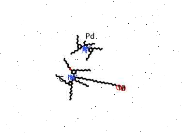 CCCCCCCCCCCCCCCCCCCCC=CC1=C(c2cc(CCCCCCCC)cc(CCCCCCCC)c2)[N+](=[N-])C(c2cc(CCCCCCCC)cc(CCCCCCCC)c2)=C1CCCCCCCC.CCCCCc1cc(CCCCC)cc(C2=C(CC)C(CCCC)=C(c3cc(CCCCC)cc(CCCCC)c3)[N+]2=[N-])c1.C[O][Ni][O]C.[Pd]